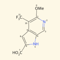 COc1ncc2[nH]c(C(=O)O)cc2c1C(F)(F)F